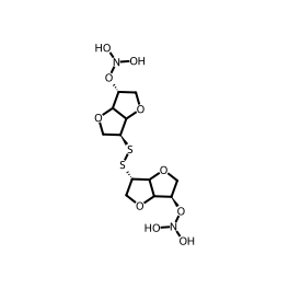 ON(O)O[C@@H]1COC2C1OC[C@@H]2SS[C@H]1COC2C1OC[C@H]2ON(O)O